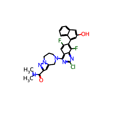 CN(C)C(=O)c1cc2n(n1)CCCN(c1nc(Cl)nc3c(F)c(-c4cc(O)cc5ccccc45)c(F)cc13)C2